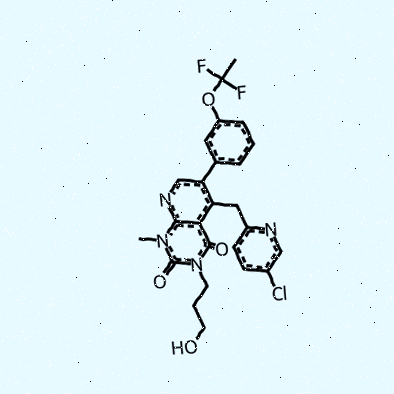 Cn1c(=O)n(CCCO)c(=O)c2c(Cc3ccc(Cl)cn3)c(-c3cccc(OC(C)(F)F)c3)cnc21